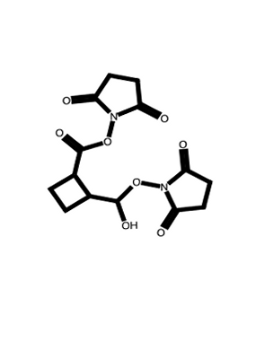 O=C(ON1C(=O)CCC1=O)C1CCC1C(O)ON1C(=O)CCC1=O